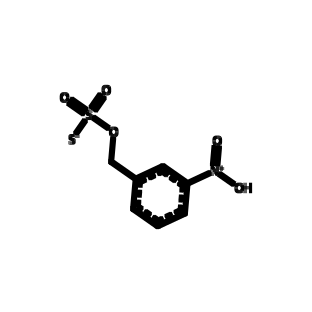 O=[N+](O)c1cccc(COS(=O)(=O)[S-])c1